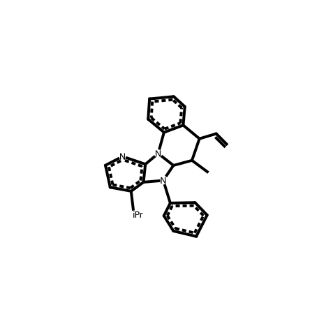 C=CC1c2ccccc2N2c3nccc(C(C)C)c3N(c3ccccc3)C2C1C